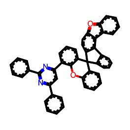 c1ccc(-c2cc(-c3cccc4c3Oc3ccccc3C43c4ccccc4-c4c3ccc3oc5ccccc5c43)nc(-c3ccccc3)n2)cc1